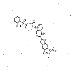 COc1cc2cc(C(=O)NC(CC(C)C)C(=O)N[C@H]3CCCN(S(=O)(=O)c4ccccc4F)CC3=O)oc2cc1OC